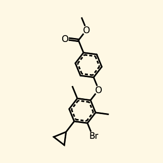 COC(=O)c1ccc(Oc2c(C)cc(C3CC3)c(Br)c2C)cc1